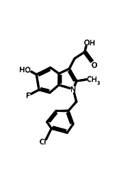 Cc1c(CC(=O)O)c2cc(O)c(F)cc2n1Cc1ccc(Cl)cc1